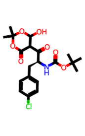 CC(C)(C)OC(=O)N[C@@H](Cc1ccc(Cl)cc1)C(=O)C1C(=O)OC(C)(C)OC1O